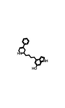 Oc1cc(CCCCC2CC(c3ccccc3)=CCN2)c2cc[nH]c2c1